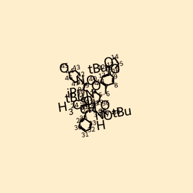 CC(C)[C@H](NC(=O)[C@H](Cc1ccc(C2(C(C)(C)C)OCCO2)cc1)C[C@H](O[Si](C)(C)C(C)(C)C)[C@H](Cc1ccccc1)NC(=O)OC(C)(C)C)C(=O)N1CCC(=O)CC1